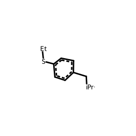 CCSc1ccc(C[C](C)C)cc1